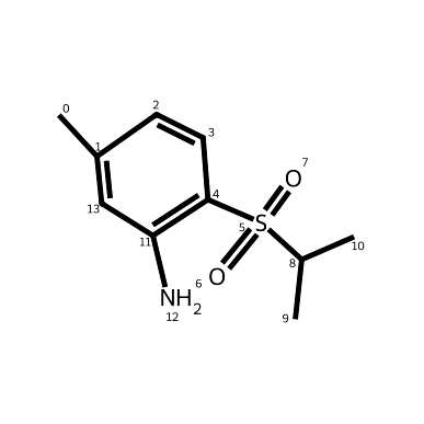 Cc1ccc(S(=O)(=O)C(C)C)c(N)c1